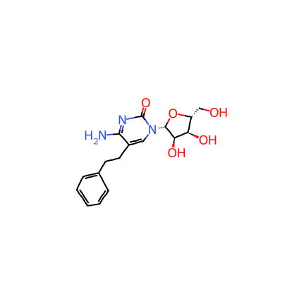 Nc1nc(=O)n([C@@H]2O[C@H](CO)[C@@H](O)[C@H]2O)cc1CCc1ccccc1